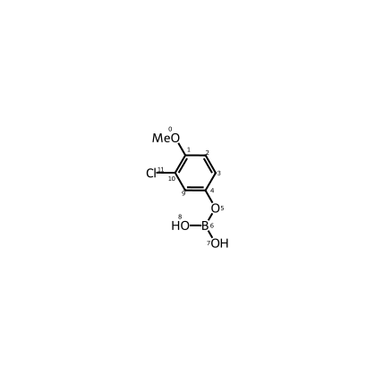 COc1ccc(OB(O)O)cc1Cl